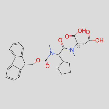 CN(C(=O)OCC1c2ccccc2-c2ccccc21)C(C(=O)N(C)[C@@H](CC(=O)O)C(=O)O)C1CCCC1